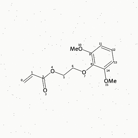 C=CC(=O)OCCOc1c(OC)cccc1OC